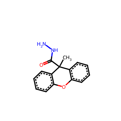 CC1(C(=O)NN)c2ccccc2Oc2ccccc21